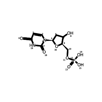 O=c1ccn([C@H]2CC(O)[C@@H](COP(=O)(O)O)O2)c(=O)[nH]1